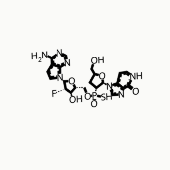 Nc1ncnc2c1ccn2[C@@H]1O[C@H](COP(=O)(S)[C@@H]2CC(CO)O[C@H]2n2cnc3c(=O)[nH]ccc32)[C@@H](O)[C@@H]1F